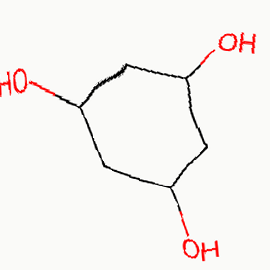 OC1CC(O)CC(O)C1